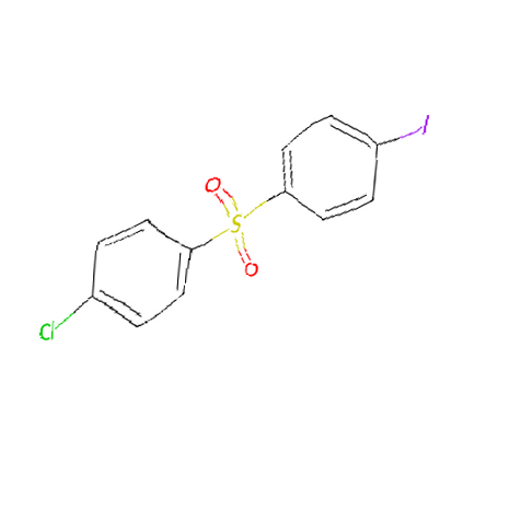 O=S(=O)(c1ccc(Cl)cc1)c1ccc(I)cc1